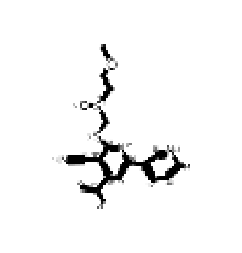 COCC[S+]([O-])CSc1nc(-c2cccnc2)cc(C(C)C)c1C#N